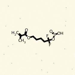 C=C(C)C(=O)OCCCCC(F)(F)OS(=O)O